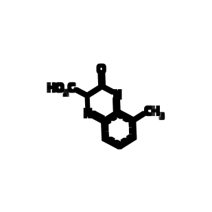 Cc1cccc2c1=NC(=O)C(C(=O)O)N=2